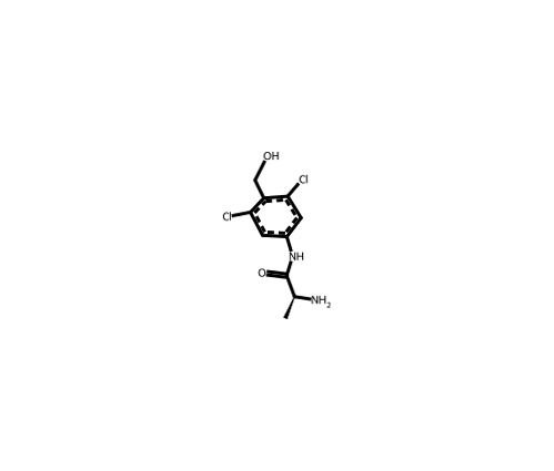 C[C@H](N)C(=O)Nc1cc(Cl)c(CO)c(Cl)c1